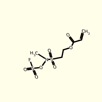 C=CC(=O)OCCS(=O)(=O)N(C)OS(=O)(=O)F